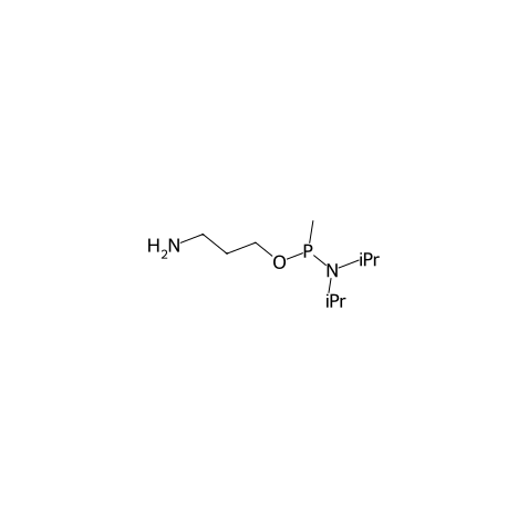 CC(C)N(C(C)C)P(C)OCCCN